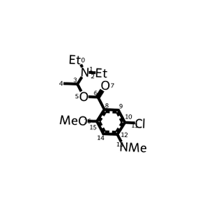 CCN(CC)C(C)OC(=O)c1cc(Cl)c(NC)cc1OC